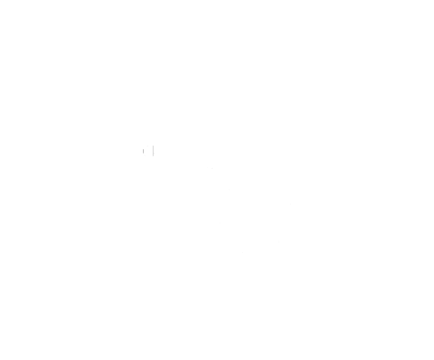 C=CC(=CCl)c1ccccc1